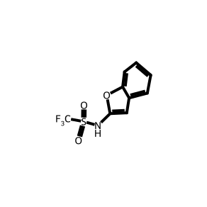 O=S(=O)(Nc1cc2ccccc2o1)C(F)(F)F